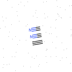 C#C.C#N.C#N